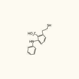 O=C(O)c1c(CCS)cccc1Nc1ccccc1